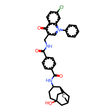 O=C(NCc1cn(-c2ccccc2)c2cc(Cl)ccc2c1=O)c1ccc(C(=O)NC2CCC3(O)CC4CC(C3)C2C4)cc1